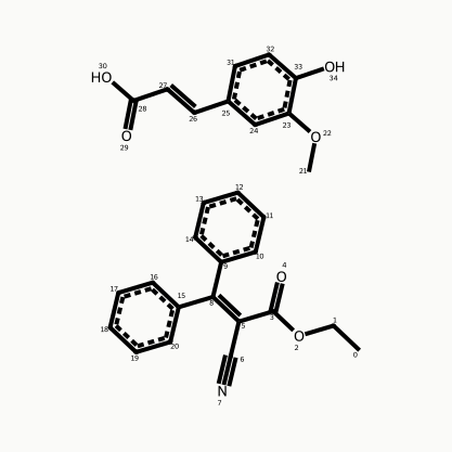 CCOC(=O)C(C#N)=C(c1ccccc1)c1ccccc1.COc1cc(/C=C/C(=O)O)ccc1O